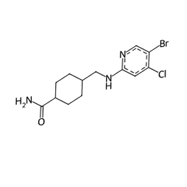 NC(=O)C1CCC(CNc2cc(Cl)c(Br)cn2)CC1